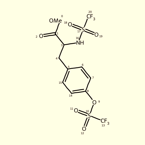 COC(=O)C(Cc1ccc(OS(=O)(=O)C(F)(F)F)cc1)NS(=O)(=O)C(F)(F)F